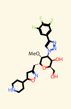 CO[C@@H]1[C@@H](n2cc(-c3cc(F)c(F)c(F)c3)nn2)[C@@H](O)[C@@H](CO)O[C@@H]1CC1=NOC(C2CCNCC2)C1